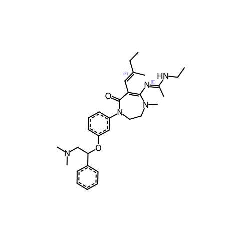 CCN/C(C)=N/C1=C(/C=C(\C)CC)C(=O)N(c2cccc(OC(CN(C)C)c3ccccc3)c2)CCN1C